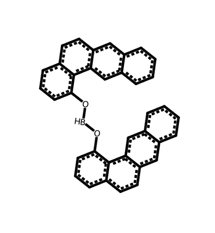 B(Oc1cccc2ccc3cc4ccccc4cc3c12)Oc1cccc2ccc3cc4ccccc4cc3c12